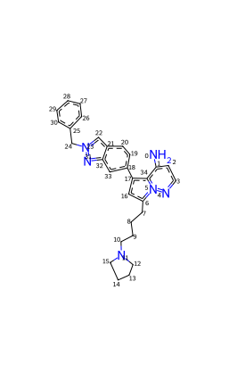 Nc1ccnn2c(CCCCN3CCCC3)cc(-c3ccc4cn(Cc5ccccc5)nc4c3)c12